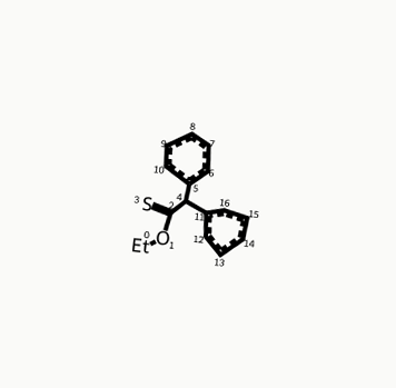 CCOC(=S)C(c1ccccc1)c1ccccc1